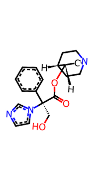 O=C(O[C@H]1C[N@]2CC[C@H]1CC2)[C@](CO)(c1ccccc1)n1ccnc1